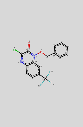 O=c1c(Cl)nc2ccc(C(F)(F)F)cc2n1OCc1ccccc1